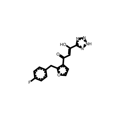 O=C(C=C(O)c1nn[nH]n1)c1ccoc1Cc1ccc(F)cc1